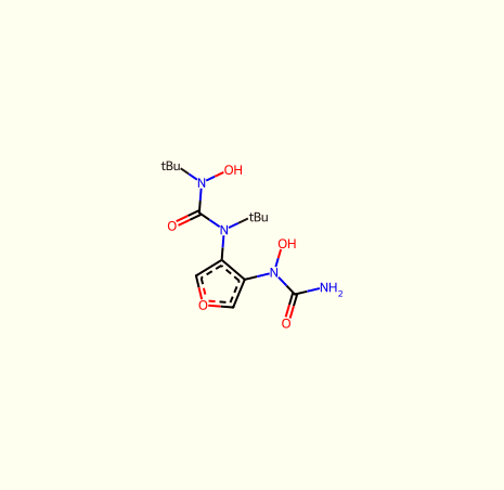 CC(C)(C)N(O)C(=O)N(c1cocc1N(O)C(N)=O)C(C)(C)C